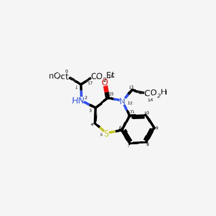 CCCCCCCCC(NC1CSc2ccccc2N(CC(=O)O)C1=O)C(=O)OCC